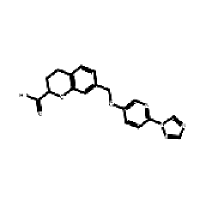 O=C(O)C1CCc2ccc(COc3ccc(-n4cncn4)nc3)cc2O1